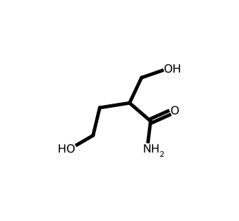 NC(=O)C(CO)CCO